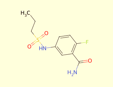 CCCS(=O)(=O)Nc1ccc(F)c(C(N)=O)c1